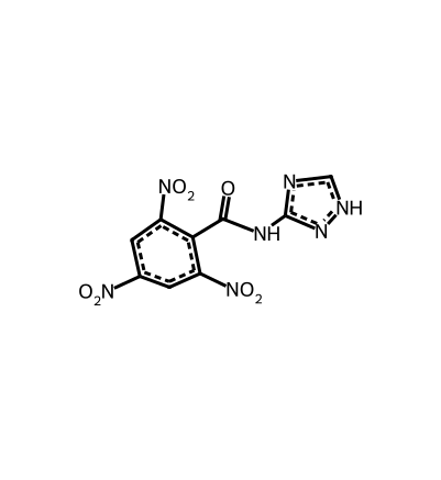 O=C(Nc1nc[nH]n1)c1c([N+](=O)[O-])cc([N+](=O)[O-])cc1[N+](=O)[O-]